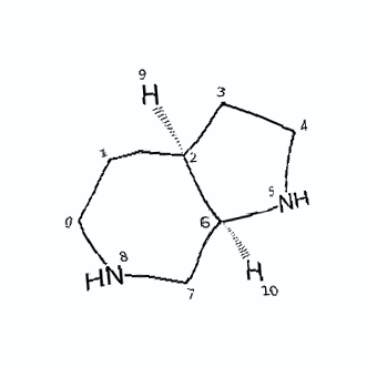 C1C[C@H]2CCN[C@H]2CN1